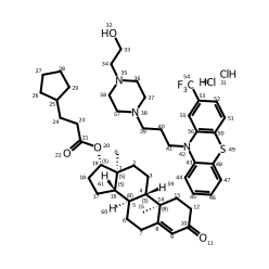 C[C@]12CC[C@H]3[C@@H](CCC4=CC(=O)CC[C@@]43C)[C@@H]1CC[C@@H]2OC(=O)CCC1CCCC1.Cl.Cl.OCCN1CCN(CCCN2c3ccccc3Sc3ccc(C(F)(F)F)cc32)CC1